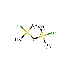 CS(C)(Cl)CS(C)(C)Cl